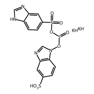 O=S(On1cnc2cc(S(=O)(=O)O)ccc21)OS(=O)(=O)c1ccc2[nH]cnc2c1.[KH].[KH]